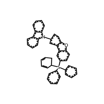 C1=CCC(S(c2ccccc2)(c2ccccc2)c2ccc3oc4ccc(-n5c6ccccc6c6ccccc65)cc4c3c2)C=C1